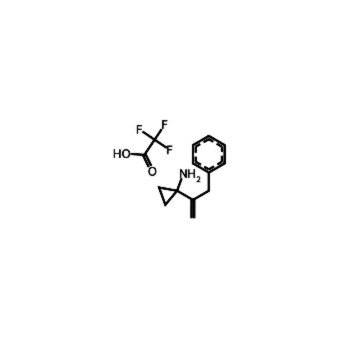 C=C(Cc1ccccc1)C1(N)CC1.O=C(O)C(F)(F)F